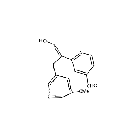 COc1cccc(C/C(=N\O)c2cc(C=O)ccn2)c1